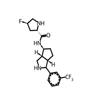 O=C(N[C@H]1CC[C@@H]2C(c3cccc(C(F)(F)F)c3)NC[C@H]12)[C@@H]1C[C@@H](F)CN1